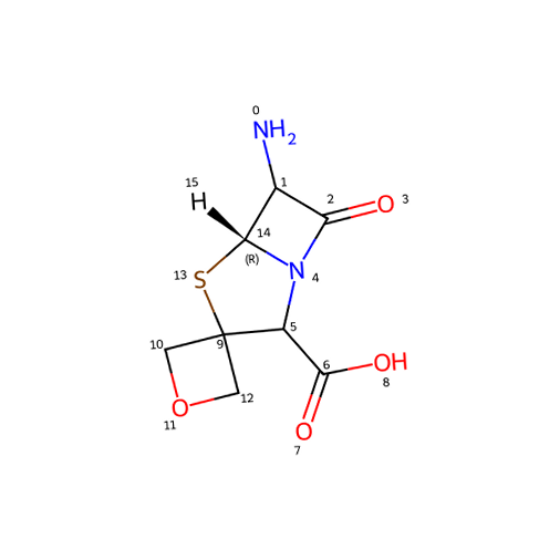 NC1C(=O)N2C(C(=O)O)C3(COC3)S[C@H]12